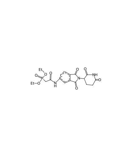 CCOP(=O)(CC(=O)Nc1ccc2c(c1)C(=O)N(C1CCC(=O)NC1=O)C2=O)OCC